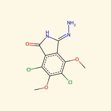 COc1c(Cl)c(OC)c2c(c1Cl)C(=O)NC2=NN